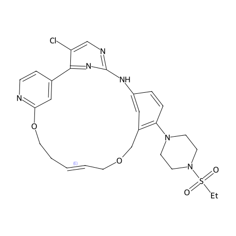 CCS(=O)(=O)N1CCN(c2ccc3cc2COC/C=C/CCOc2cc(ccn2)-c2nc(ncc2Cl)N3)CC1